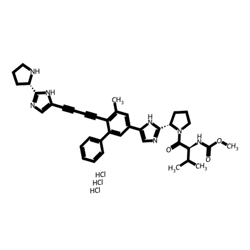 COC(=O)N[C@H](C(=O)N1CCC[C@H]1c1ncc(-c2cc(C)c(C#CC#Cc3cnc([C@@H]4CCCN4)[nH]3)c(-c3ccccc3)c2)[nH]1)C(C)C.Cl.Cl.Cl